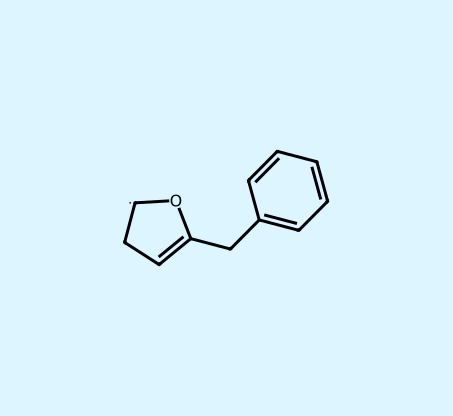 [CH]1CC=C(Cc2ccccc2)O1